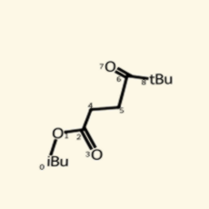 CCC(C)OC(=O)CCC(=O)C(C)(C)C